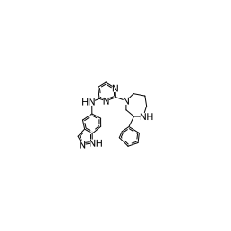 c1ccc(C2CN(c3nccc(Nc4ccc5[nH]ncc5c4)n3)CCCN2)cc1